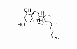 CC(C)CCC[C@@H](C)[C@H]1CC[C@H]2C3=CC=C4C(O)CC(O)C[C@]4(C)[C@H]3CC[C@]12C